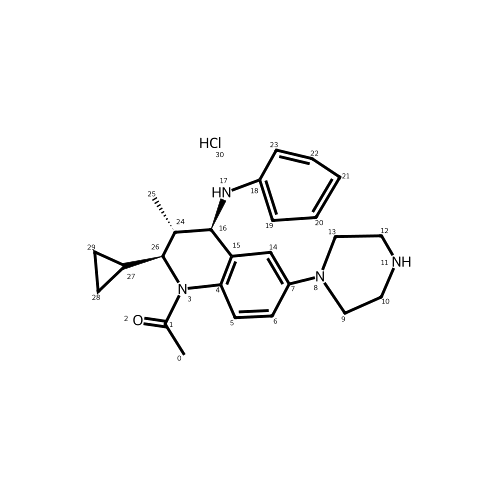 CC(=O)N1c2ccc(N3CCNCC3)cc2[C@H](Nc2ccccc2)[C@@H](C)[C@@H]1C1CC1.Cl